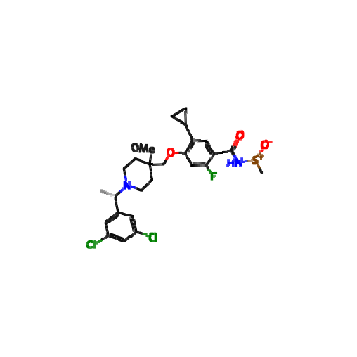 COC1(COc2cc(F)c(C(=O)N[S+](C)[O-])cc2C2CC2)CCN([C@@H](C)c2cc(Cl)cc(Cl)c2)CC1